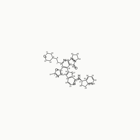 Cc1nnc(-c2c(CCC3CCOCC3)nc3c(c2-c2cc4ccnc(N[C@@H]5CCc6ncccc65)c4s2)c(=O)n2n3CCC2)o1